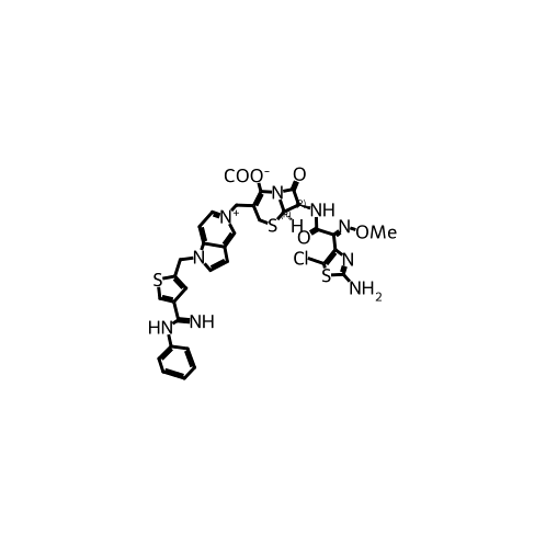 CON=C(C(=O)N[C@@H]1C(=O)N2C(C(=O)[O-])=C(C[n+]3ccc4c(ccn4Cc4cc(C(=N)Nc5ccccc5)cs4)c3)CS[C@H]12)c1nc(N)sc1Cl